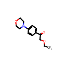 O=C(COCC(F)(F)F)c1ccc(N2CCOCC2)cc1